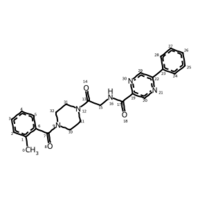 Cc1ccccc1C(=O)N1CCN(C(=O)CNC(=O)c2cnc(-c3ccccc3)cn2)CC1